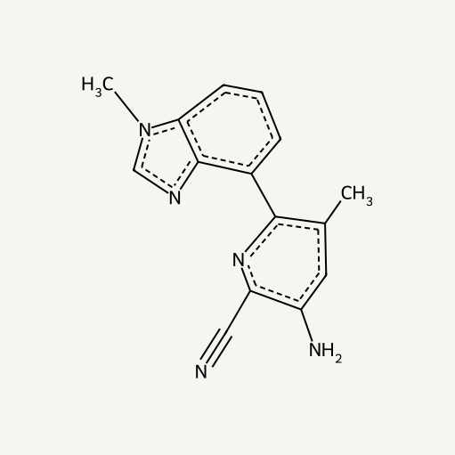 Cc1cc(N)c(C#N)nc1-c1cccc2c1ncn2C